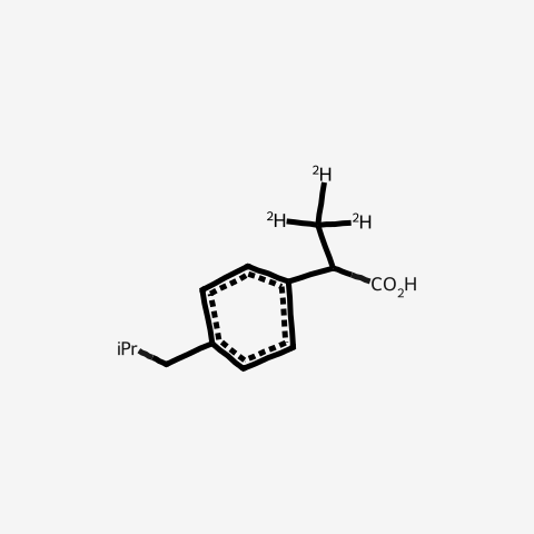 [2H]C([2H])([2H])C(C(=O)O)c1ccc(CC(C)C)cc1